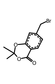 CC1(C)OC(=O)c2ccc(CBr)cc2O1